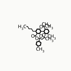 CCCCCc1cc2c(c3c1C(=O)OC(CC(C)=O)(c1ccc(C)cc1)O3)-c1cc(C)ccc1C(C)(C)O2